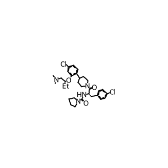 CC[C@@H](CN(C)C)Oc1cc(Cl)ccc1C1CCN(C(=O)[C@@H](Cc2ccc(Cl)cc2)NC(=O)N2CCCC2)CC1